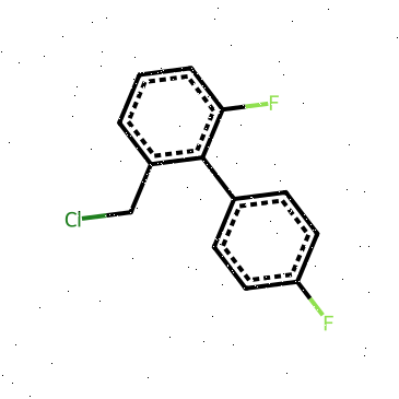 Fc1ccc(-c2c(F)cccc2CCl)cc1